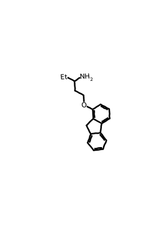 CCC(N)CCOc1cccc2c1Cc1ccccc1-2